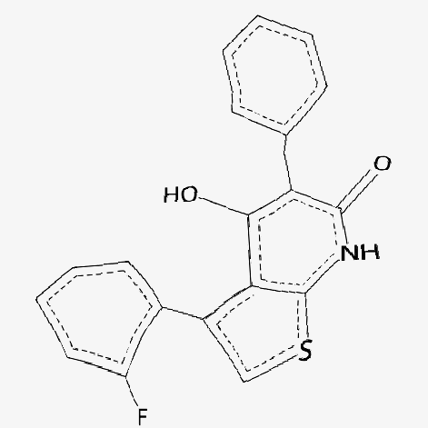 O=c1[nH]c2scc(-c3ccccc3F)c2c(O)c1-c1ccccc1